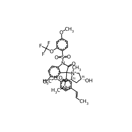 CC=Cc1ccc(OC)c(C2([N+]3(C)C[C@H](O)C[C@H]3C(=O)NC)C(=O)N(S(=O)(=O)c3ccc(OC)cc3OC(F)(F)F)c3ccc(Cl)cc32)c1